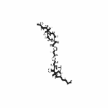 CCCCCCC(C)(CC)C(=O)NCCOCCOCCN1CCN(C(C)(C)CCCC)CC1